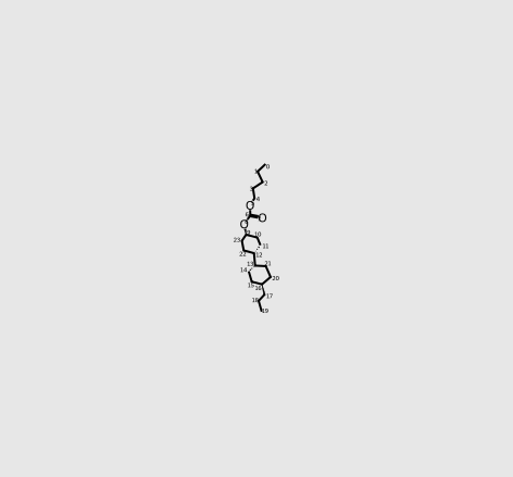 CCCCCOC(=O)O[C@H]1CC[C@H]([C@H]2CC[C@H](CCC)CC2)CC1